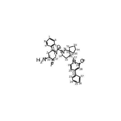 N[C@H]1C[C@@H](c2ccccc2)N(C(=O)N2CC[C@@H](Cn3ccc(-c4ccccc4)cc3=O)C3(CCCC3)C2)C[C@@H]1F